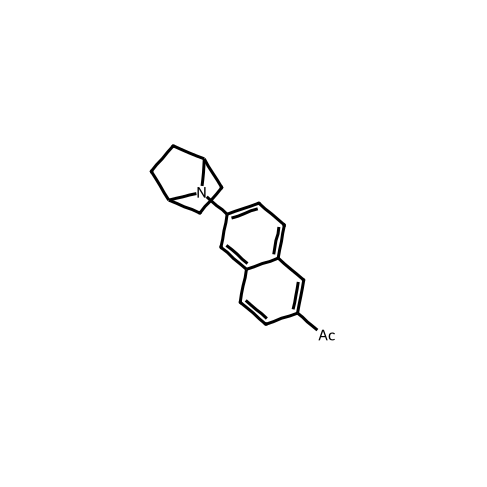 CC(=O)c1ccc2cc(N3C4CCC3CC4)ccc2c1